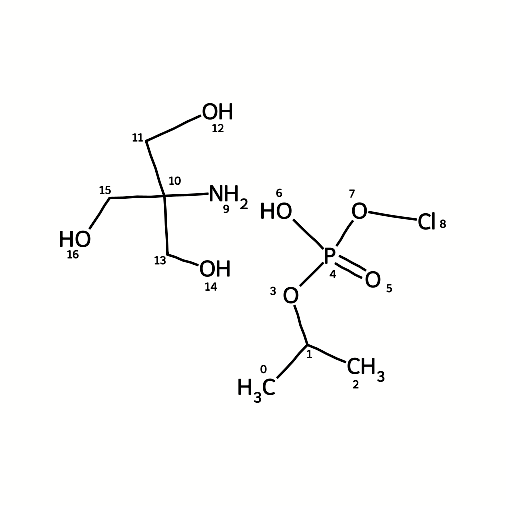 CC(C)OP(=O)(O)OCl.NC(CO)(CO)CO